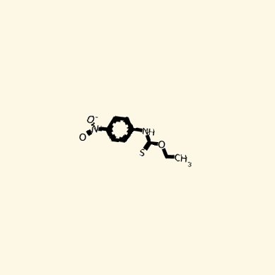 CCOC(=S)Nc1ccc([N+](=O)[O-])cc1